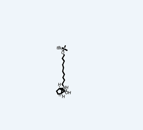 CC(C)(C)[Si](C)(C)OCCCCCCCCCCN[C@H]1[C@H]2CC[C@@H]1[C@H](O)C2